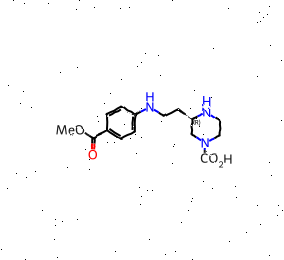 COC(=O)c1ccc(NCC[C@@H]2CN(C(=O)O)CCN2)cc1